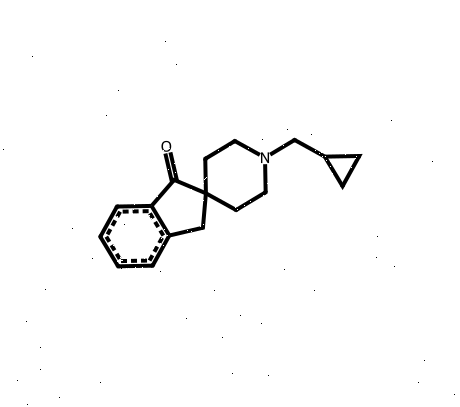 O=C1c2ccccc2CC12CCN(CC1CC1)CC2